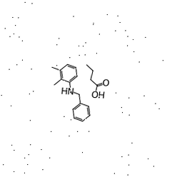 CCCC(=O)O.Cc1cccc(NCc2ccccc2)c1C